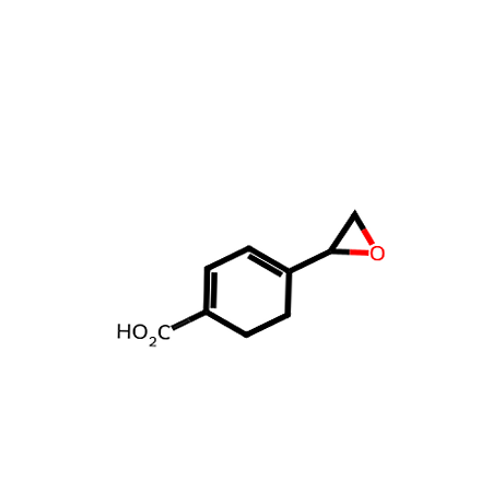 O=C(O)C1=CC=C(C2CO2)CC1